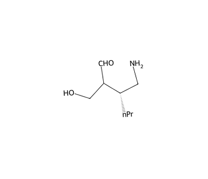 CCC[C@@H](CN)C(C=O)CO